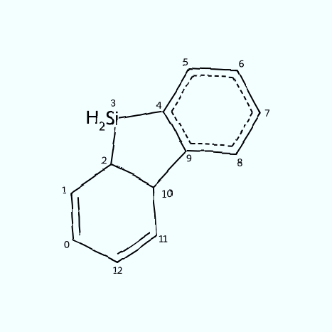 C1=CC2[SiH2]c3ccccc3C2C=C1